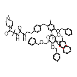 Cc1cc(OCc2ccccc2)c([C@@H]2O[C@H](COCc3ccccc3)[C@@H](OCc3ccccc3)[C@H](OCc3ccccc3)[C@H]2OCc2ccccc2)cc1Cc1ccc(CCNC(=O)NC(C)(C)C(=O)N2CCN(C)CC2)cc1